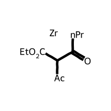 CCCC(=O)C(C(C)=O)C(=O)OCC.[Zr]